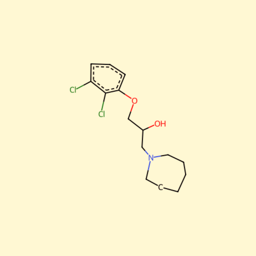 OC(COc1cccc(Cl)c1Cl)CN1CCCCCC1